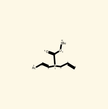 C=CCN(/C=C/C(C)=O)C(=O)OC(C)(C)C